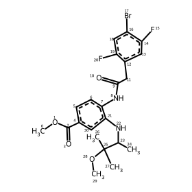 COC(=O)c1ccc(NC(=O)Cc2cc(F)c(Br)cc2F)c(NC(C)C(C)(C)OC)c1